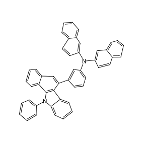 c1ccc(-n2c3ccccc3c3c(-c4cccc(N(c5ccc6ccccc6c5)c5ccc6ccccc6c5)c4)cc4ccccc4c32)cc1